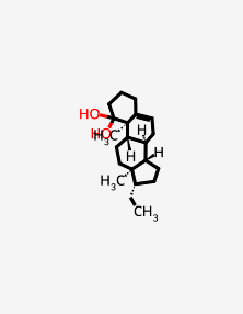 CC[C@H]1CC[C@H]2[C@@H]3CC=C4CCCC(O)(O)[C@]4(C)[C@H]3CC[C@]12C